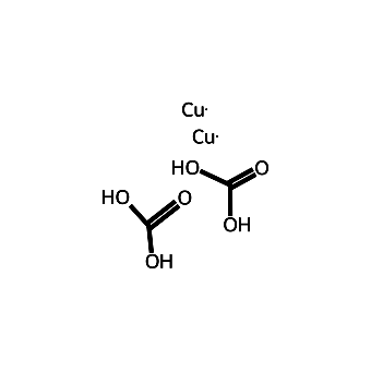 O=C(O)O.O=C(O)O.[Cu].[Cu]